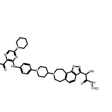 CCCC(C(=O)NC=O)c1noc2c3c(ccc12)CCN(C1CCN(c2ccc(Nc4nc(N5CCCCC5)cnc4C(N)=O)cc2)CC1)CC3